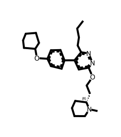 CCCCc1nnc(OCC[C@H]2CCCCN2C)cc1-c1ccc(OC2CCCCC2)cc1